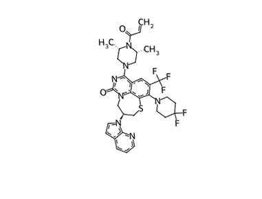 C=CC(=O)N1[C@H](C)CN(c2nc(=O)n3c4c(c(N5CCC(F)(F)CC5)c(C(F)(F)F)cc24)SC[C@@H](n2ccc4cccnc42)C3)C[C@@H]1C